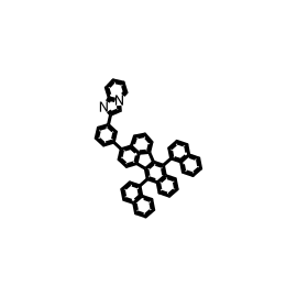 c1cc(-c2cn3ccccc3n2)cc(-c2ccc3c4c(cccc24)-c2c-3c(-c3cccc4ccccc34)c3ccccc3c2-c2cccc3ccccc23)c1